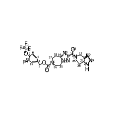 O=C(OCc1ccc(OC(F)(F)F)c(F)c1)N1CCc2nc(C(=O)N3CCc4[nH]nnc4C3)nn2CC1